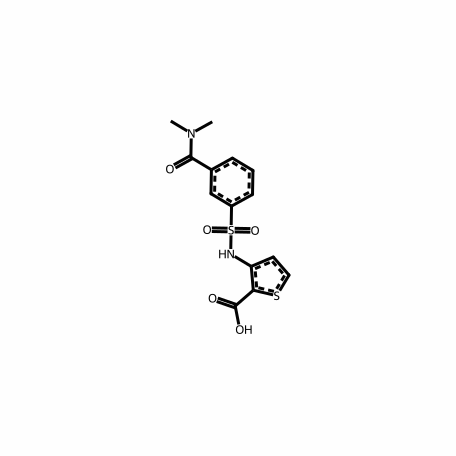 CN(C)C(=O)c1cccc(S(=O)(=O)Nc2ccsc2C(=O)O)c1